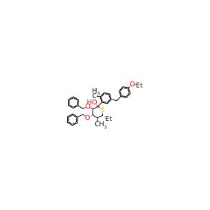 CCOc1ccc(Cc2ccc(C)c(C3(O)S[C@H](CC)[C@@H](C)[C@H](OCc4ccccc4)[C@H]3OCc3ccccc3)c2)cc1